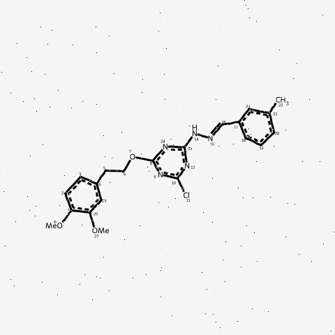 COc1ccc(CCOc2nc(Cl)nc(N/N=C/c3cccc(C)c3)n2)cc1OC